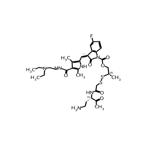 CCN(CC)CCNC(=O)c1c(C)[nH]c(/C=C2\C(=O)N(C(=O)OC[C@@H](C)SSCC(=O)N[C@@H](CCN)C(C)=O)c3ccc(F)cc32)c1C